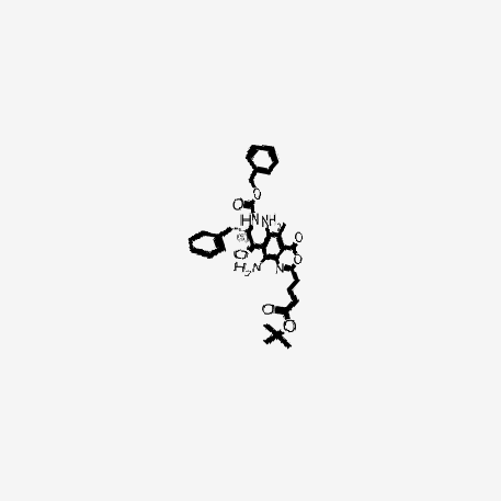 Cc1c(N)c(C(=O)[C@H](Cc2ccccc2)NC(=O)OCc2ccccc2)c(N)c2nc(CCCC(=O)OC(C)(C)C)oc(=O)c12